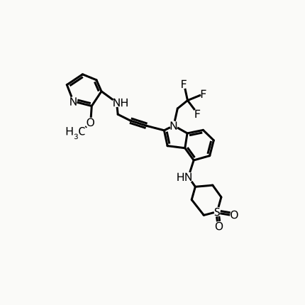 COc1ncccc1NCC#Cc1cc2c(NC3CCS(=O)(=O)CC3)cccc2n1CC(F)(F)F